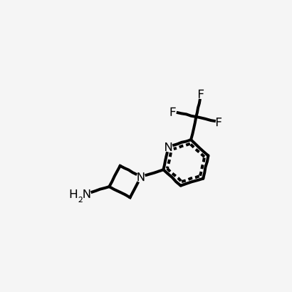 NC1CN(c2cccc(C(F)(F)F)n2)C1